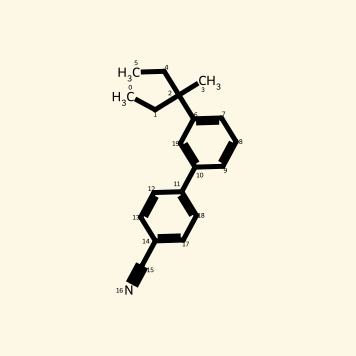 CCC(C)(CC)c1cccc(-c2ccc(C#N)cc2)c1